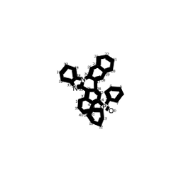 O=P(c1ccccc1)(c1ccccc1)c1cc2c3cc4ccccc4cc3n3c4ccccc4nc3c2c2ccccc12